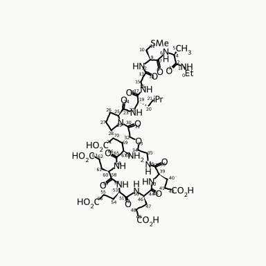 CCNC(=O)[C@H](C)NC(=O)[C@H](CSC)NC(=O)CNC(=O)[C@H](CC(C)C)NC(=O)[C@@H]1CCCN1C(=O)COCCNC(=O)[C@@H](CCC(=O)O)NC(=O)[C@@H](CCC(=O)O)NC(=O)[C@@H](CCC(=O)O)NC(=O)[C@@H](CCC(=O)O)NC(=O)[C@H](N)CCC(=O)O